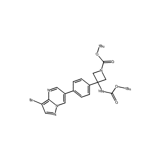 CC(C)(C)OC(=O)NC1(c2ccc(-c3cnc4c(Br)cnn4c3)cc2)CN(C(=O)OC(C)(C)C)C1